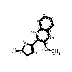 COc1nc2ccccc2nc1C1=CCC(Cl)S1